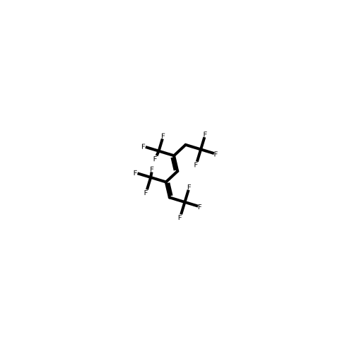 FC(F)(F)C=C(C=C(CC(F)(F)F)C(F)(F)F)C(F)(F)F